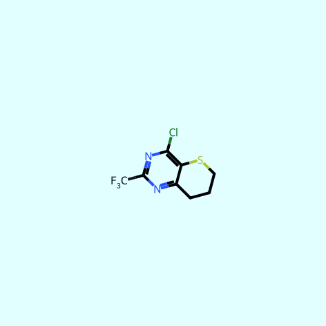 FC(F)(F)c1nc(Cl)c2c(n1)CCCS2